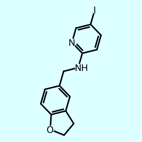 Ic1ccc(NCc2ccc3c(c2)CCO3)nc1